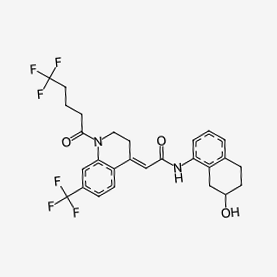 O=C(C=C1CCN(C(=O)CCCC(F)(F)F)c2cc(C(F)(F)F)ccc21)Nc1cccc2c1CC(O)CC2